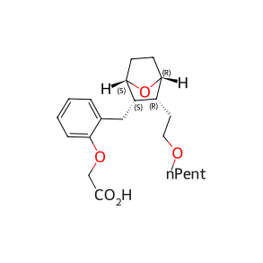 CCCCCOCC[C@@H]1[C@H](Cc2ccccc2OCC(=O)O)[C@@H]2CC[C@H]1O2